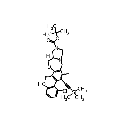 CC(C)(C)OC(=O)N1CCN2Cc3c(F)c(C#C[Si](C)(C)C)c(-c4c(O)cccc4Cl)c(F)c3OC[C@H]2C1